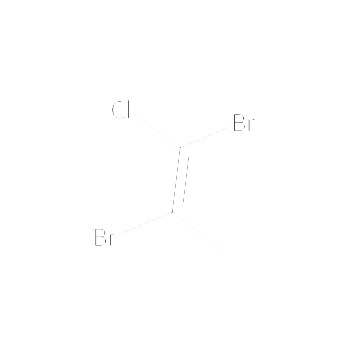 CC(Br)=C(Cl)Br